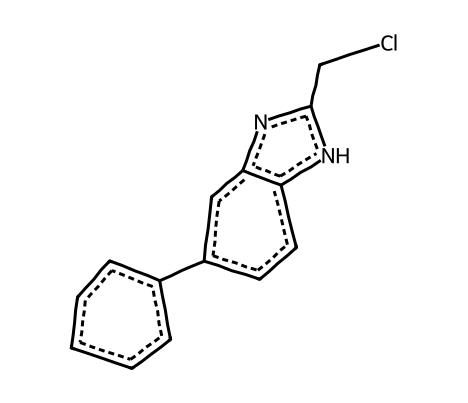 ClCc1nc2cc(-c3ccccc3)ccc2[nH]1